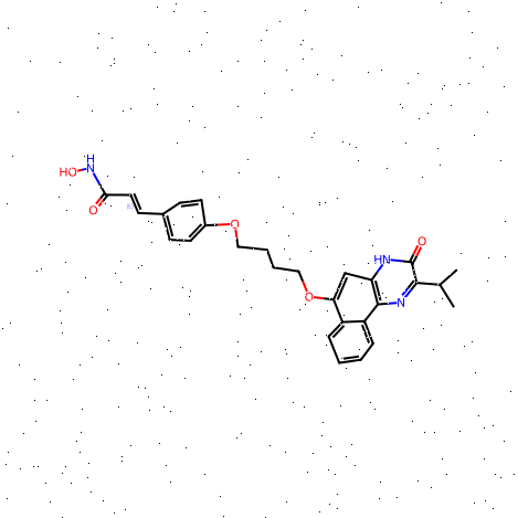 CC(C)c1nc2c(cc(OCCCCOc3ccc(/C=C/C(=O)NO)cc3)c3ccccc32)[nH]c1=O